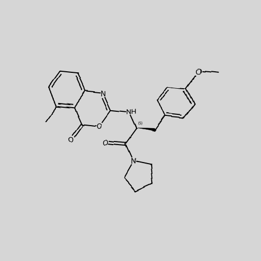 COc1ccc(C[C@H](Nc2nc3cccc(C)c3c(=O)o2)C(=O)N2CCCC2)cc1